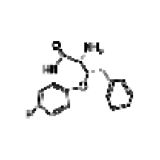 N[C@H]1C(=O)Nc2cc(F)ccc2O[C@H]1Cc1ccccc1